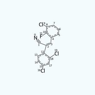 N#CC(=Cc1cccc(Cl)c1F)c1ccc(Cl)cc1Cl